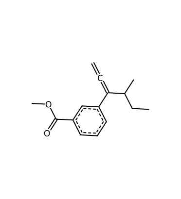 C=C=C(c1cccc(C(=O)OC)c1)C(C)CC